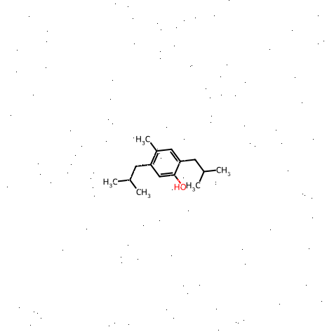 Cc1cc(CC(C)C)c(O)cc1CC(C)C